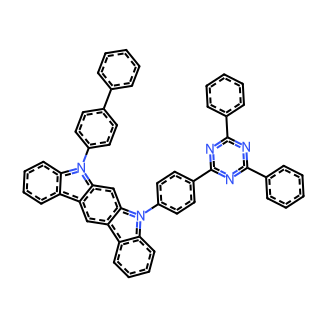 c1ccc(-c2ccc(-n3c4ccccc4c4cc5c6ccccc6n(-c6ccc(-c7nc(-c8ccccc8)nc(-c8ccccc8)n7)cc6)c5cc43)cc2)cc1